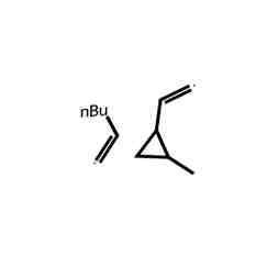 [CH]=CC1CC1C.[CH]=CCCCC